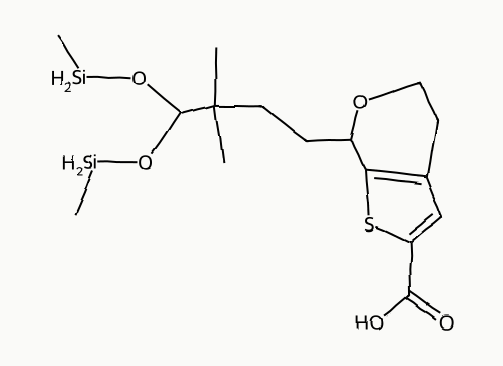 C[SiH2]OC(O[SiH2]C)C(C)(C)CCC1OCCc2cc(C(=O)O)sc21